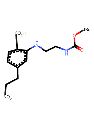 CC(C)(C)OC(=O)NCCNc1cc(CC[N+](=O)[O-])ccc1C(=O)O